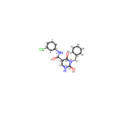 O=C(Nc1cccc(Cl)c1)c1c[nH]c(=O)n(Cc2ccccc2)c1=O